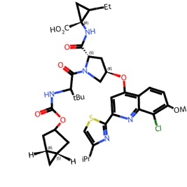 CCC1C[C@]1(NC(=O)[C@@H]1C[C@@H](Oc2cc(-c3nc(C(C)C)cs3)nc3c(Cl)c(OC)ccc23)CN1C(=O)C(NC(=O)OC1C[C@@H]2C[C@@H]2C1)C(C)(C)C)C(=O)O